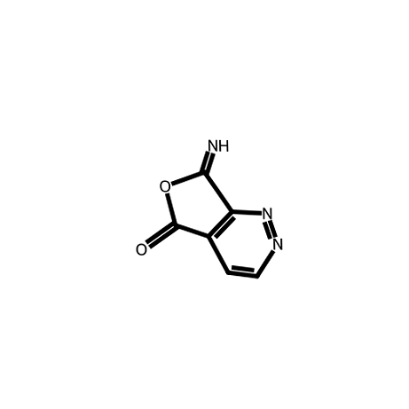 N=C1OC(=O)c2ccnnc21